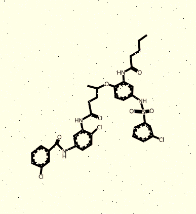 CCCCC(=O)Nc1cc(NS(=O)(=O)c2cccc(Cl)c2)ccc1OC(C)CCC(=O)Nc1cc(NC(=O)c2cccc(Cl)c2)ccc1Cl